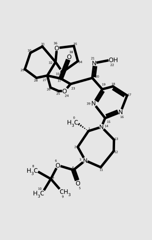 C[C@H]1CN(C(=O)OC(C)(C)C)CCCN1c1nccc(/C(=N\O)C2OCCC3(CCCCC34OCCO4)C2=O)n1